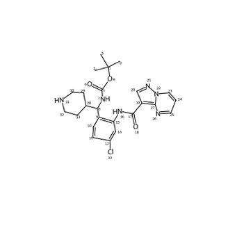 CC(C)(C)OC(=O)NC(c1ccc(Cl)cc1NC(=O)c1cnn2cccnc12)C1CCNCC1